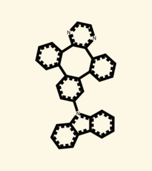 c1ccc2c(c1)-c1ccc(-n3c4ccccc4c4ccccc43)cc1-c1ccccc1-c1nccnc1-2